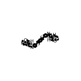 C=CCCN(Cc1nc2ccc(-c3cc4cc5sc(-c6ccc7nc(CN(CCC=C)C(=O)[C@@H](NC(=O)OC)C(C)C)[nH]c7c6)cc5cc4s3)cc2[nH]1)C(=O)[C@@H](NC(=O)OC)C(C)C